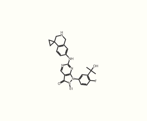 CCn1c(=O)c2cnc(Nc3ccc4c(c3)CNCC43CC3)nc2n1-c1ccc(F)c(C(C)(C)O)c1